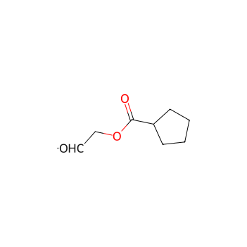 O=[C]COC(=O)C1CCCC1